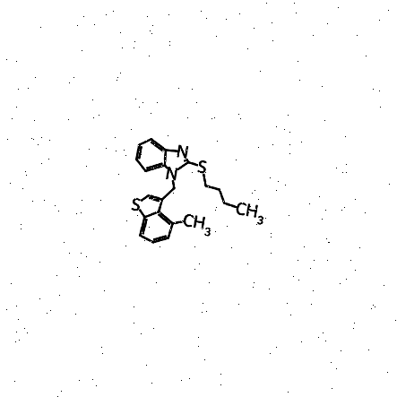 CCCCSc1nc2ccccc2n1Cc1csc2cccc(C)c12